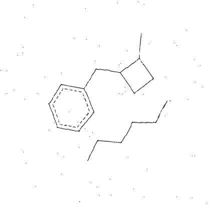 CC1CCC1Cc1ccccc1.[CH2]CCCCC